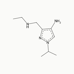 CCNCc1nn(C(C)C)cc1N